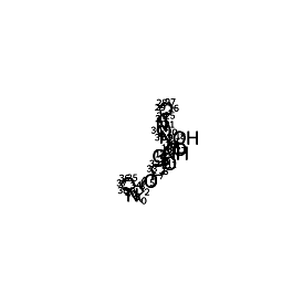 Cc1cc(COc2ccc(S(=O)(=O)N/C=C(\C(=O)O)N3CCN(Cc4ccccc4)CC3)cc2)c2ccccc2n1